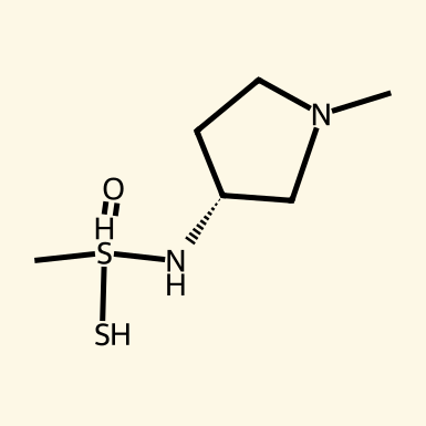 CN1CC[C@@H](N[SH](C)(=O)S)C1